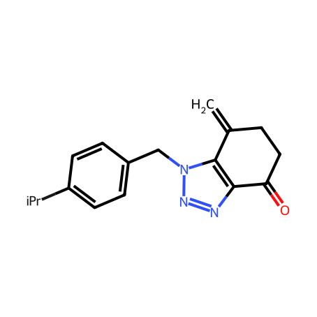 C=C1CCC(=O)c2nnn(Cc3ccc(C(C)C)cc3)c21